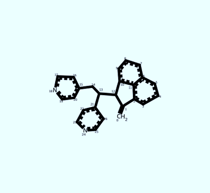 C=C1c2cccc3cccc(c23)C1C(Cc1ccncc1)c1ccncc1